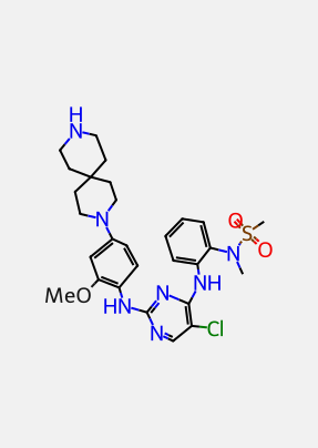 COc1cc(N2CCC3(CCNCC3)CC2)ccc1Nc1ncc(Cl)c(Nc2ccccc2N(C)S(C)(=O)=O)n1